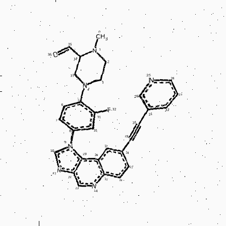 CN1CCN(c2ccc(-n3cnc4cnc5ccc(C#Cc6cccnc6)cc5c43)cc2F)CC1C=O